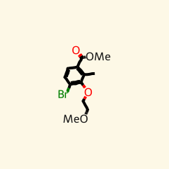 COCCOc1c(Br)ccc(C(=O)OC)c1C